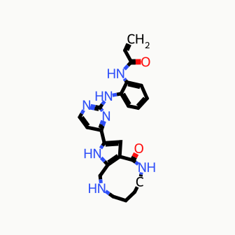 C=CC(=O)Nc1ccccc1Nc1nccc(-c2cc3c([nH]2)CNCCCCNC3=O)n1